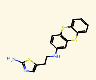 Nc1ncc(CCNc2ccc3c(c2)Sc2ccccc2S3)s1